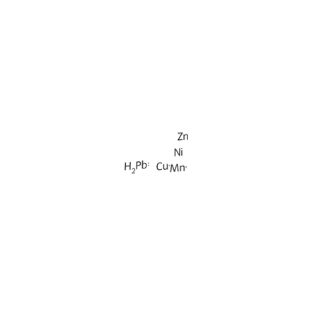 [Cu].[Mn].[Ni].[PbH2].[Zn]